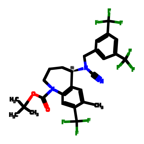 Cc1cc2c(cc1C(F)(F)F)N(C(=O)OC(C)(C)C)CCC[C@@H]2N(C#N)Cc1cc(C(F)(F)F)cc(C(F)(F)F)c1